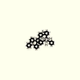 c1ccc(C2NC(c3ccccc3)NC(c3cccc4sc5ccc(-c6ccc7c(c6)sc6cccc(-n8c9ccccc9c9ccccc98)c67)cc5c34)N2)cc1